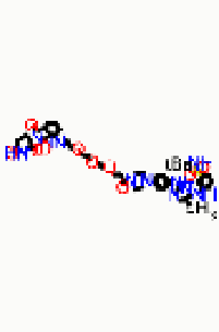 Cc1cnc(Nc2ccc(N3CCN(C(=O)CCOCCOCCOCCNc4cccc5c4C(=O)N(C4CCC(=O)NC4=O)C5=O)CC3)cc2)nc1Nc1cccc(S(=O)(=O)NC(C)(C)C)c1